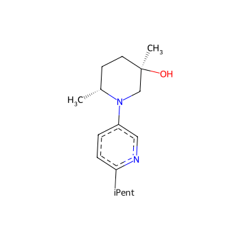 CCCC(C)c1ccc(N2C[C@](C)(O)CC[C@H]2C)cn1